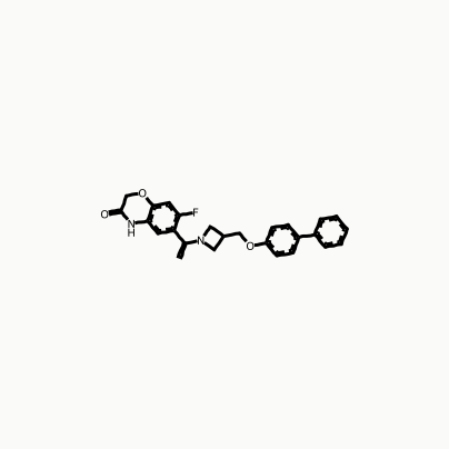 C=C(c1cc2c(cc1F)OCC(=O)N2)N1CC(COc2ccc(-c3ccccc3)cc2)C1